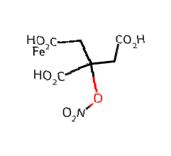 O=C(O)CC(CC(=O)O)(O[N+](=O)[O-])C(=O)O.[Fe]